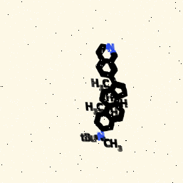 CN([C@@H]1CC[C@@]2(C)C(=CC[C@@H]3[C@@H]2CC[C@]2(C)C(c4ccc5ccncc5c4)=CC[C@@H]32)C1)C(C)(C)C